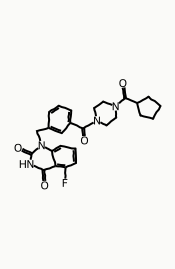 O=C(c1cccc(Cn2c(=O)[nH]c(=O)c3c(F)cccc32)c1)N1CCN(C(=O)C2CCCC2)CC1